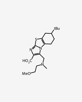 COCCN(C)Cc1c(C(=O)O)nc2sc3c(n12)CCC(C(C)(C)C)C3